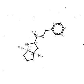 O=C(OCc1ccccc1)C1C[C@H]2CCC[C@H]2N1